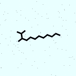 [CH2]C(CCCCCCCCC)C(C)C